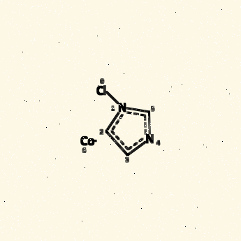 Cln1ccnc1.[Co]